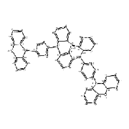 O=P12c3ccccc3B(c3ccc(N4c5ccccc5Oc5ccccc54)cn3)c3cccc(c31)B(c1ccc(N3c4ccccc4Oc4ccccc43)cn1)c1ccccc12